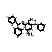 N#Cc1c(Nc2ccccc2)cc(N)n(-c2ccccc2)/c1=N\Cc1ccccc1